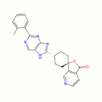 Cc1ccccc1-c1ncc2[nH]c([C@H]3CC[C@@]4(CC3)OC(=O)c3ccncc34)nc2n1